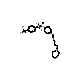 CN([C@H]1CC[C@H](COCCCN2CCCCC2)CC1)S(=O)(=O)c1ccc(C(F)(F)F)cc1